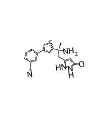 C[C@@](N)(Cc1cc(=O)[nH][nH]1)c1cc(-c2cccc(C#N)c2)cs1